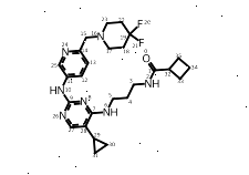 O=C(NCCCNc1nc(Nc2ccc(CN3CCC(F)(F)CC3)nc2)ncc1C1CC1)C1CCC1